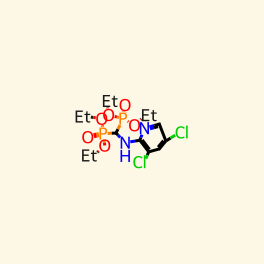 CCOP(=O)(OCC)C(Nc1ncc(Cl)cc1Cl)P(=O)(OCC)OCC